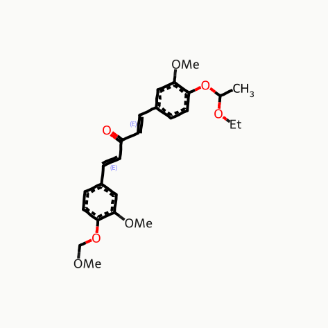 CCOC(C)Oc1ccc(/C=C/C(=O)/C=C/c2ccc(OCOC)c(OC)c2)cc1OC